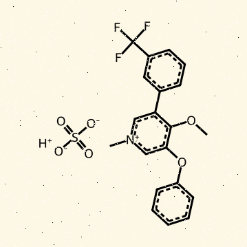 COc1c(Oc2ccccc2)c[n+](C)cc1-c1cccc(C(F)(F)F)c1.O=S(=O)([O-])[O-].[H+]